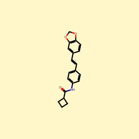 O=C(Nc1ccc(/C=C/c2ccc3c(c2)OCO3)cc1)C1CCC1